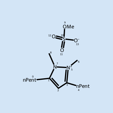 CCCCCc1cc(CCCCC)[n+](C)n1C.COS(=O)(=O)[O-]